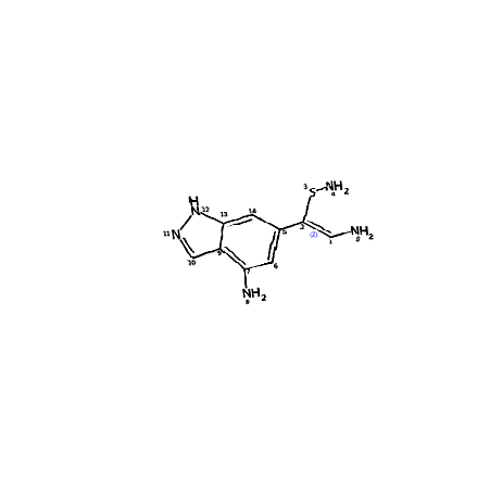 N/C=C(\SN)c1cc(N)c2cn[nH]c2c1